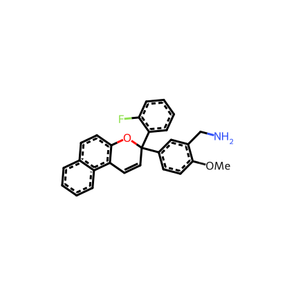 COc1ccc(C2(c3ccccc3F)C=Cc3c(ccc4ccccc34)O2)cc1CN